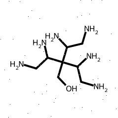 NCC(N)C(CO)(C(N)CN)C(N)CN